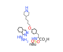 CCCCS(=O)(=O)N[C@@H](Cc1ccc(OCCCCC2CCNCC2)cc1)C(=O)O.NNc1nncc2ccccc12